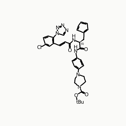 CC(C)(C)OC(=O)N1CCN(c2ccc(NC(=O)[C@H](Cc3ccccc3)NC(=O)C=Cc3cc(Cl)ccc3-n3cnnn3)cc2)CC1